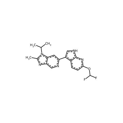 Cc1nc2cnc(-c3c[nH]c4nc(OC(F)F)ccc34)cc2n1C(C)C